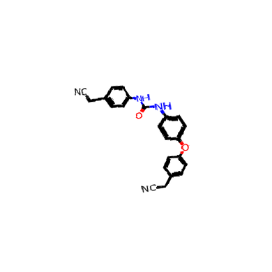 N#CCc1ccc(NC(=O)Nc2ccc(Oc3ccc(CC#N)cc3)cc2)cc1